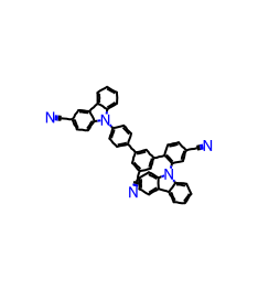 N#Cc1cc(-c2ccc(-n3c4ccccc4c4cc(C#N)ccc43)cc2)cc(-c2ccc(C#N)cc2-n2c3ccccc3c3ccccc32)c1